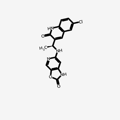 C[C@H](Nc1cc2[nH]c(=O)oc2cn1)c1cc2cc(Cl)ccc2[nH]c1=O